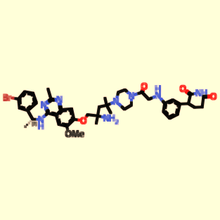 COc1cc2c(N[C@H](C)c3cccc(Br)c3)nc(C)nc2cc1OCC(C)(N)CC(C)(C)N1CCN(C(=O)CNc2cccc(C3CCC(=O)NC3=O)c2)CC1